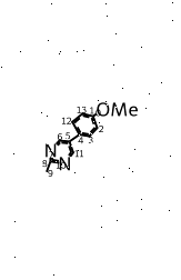 COc1ccc(-c2cnc(C)nc2)cc1